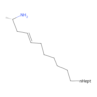 CCCCCCCCCCCCC/C=C/C[C@H](C)N